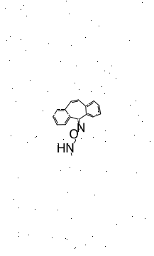 CNCON=c1c2ccccc2ccc2ccccc12